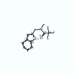 CN(Cc1cc2ccccc2s1)C(=O)C(C)(C)C